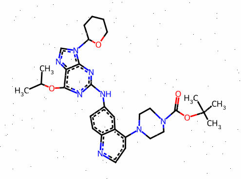 CC(C)Oc1nc(Nc2ccc3nccc(N4CCN(C(=O)OC(C)(C)C)CC4)c3c2)nc2c1ncn2C1CCCCO1